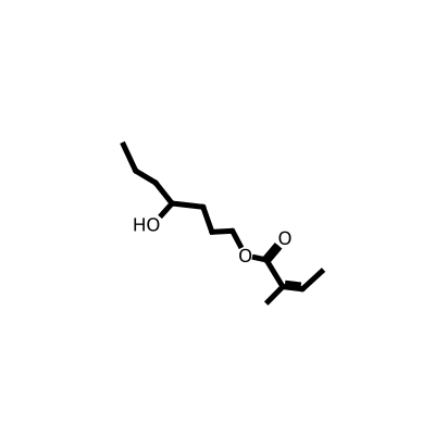 CC=C(C)C(=O)OCCCC(O)CCC